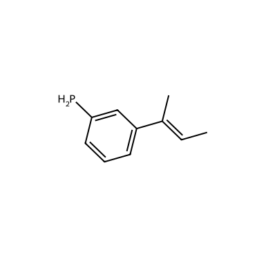 C/C=C(\C)c1cccc(P)c1